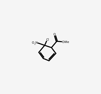 COC(=O)C1C=CC=CC1(Cl)[N+](=O)[O-]